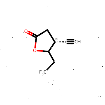 C#C[C@H]1CC(=O)OC1CC(F)(F)F